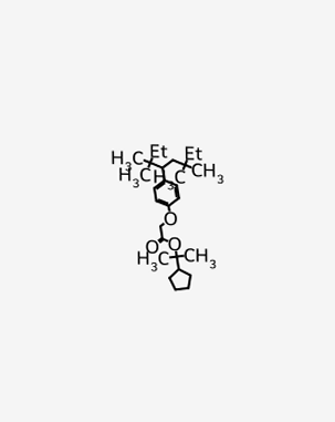 CCC(C)(C)CC(c1ccc(OCC(=O)OC(C)(C)C2CCCC2)cc1)C(C)(C)CC